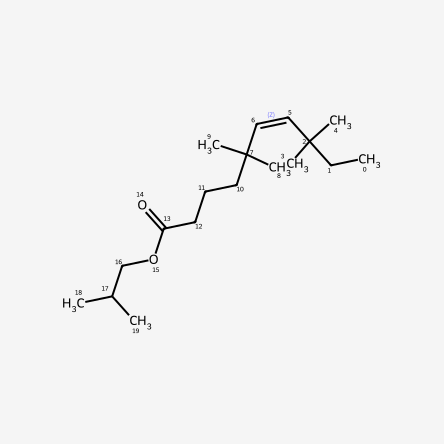 CCC(C)(C)/C=C\C(C)(C)CCCC(=O)OCC(C)C